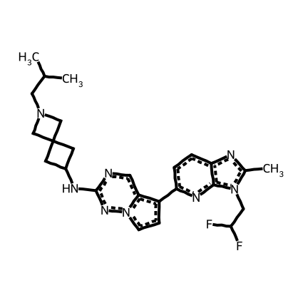 Cc1nc2ccc(-c3ccn4nc(NC5CC6(C5)CN(CC(C)C)C6)ncc34)nc2n1CC(F)F